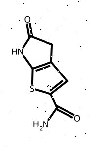 NC(=O)c1cc2c(s1)NC(=O)C2